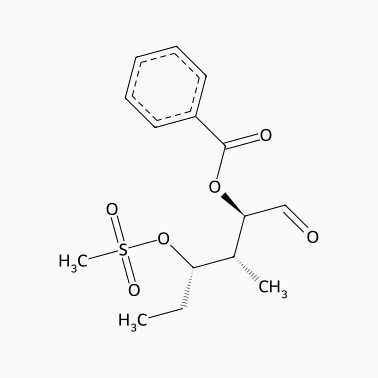 CC[C@H](OS(C)(=O)=O)[C@@H](C)[C@H](C=O)OC(=O)c1ccccc1